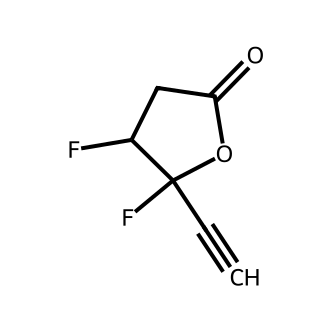 C#CC1(F)OC(=O)CC1F